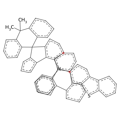 CC1(C)c2ccccc2C2(c3ccccc3-c3c(N(c4ccc5c(c4)sc4ccccc45)c4ccccc4-c4ccccc4-c4ccccc4-c4ccccc4)cccc32)c2ccccc21